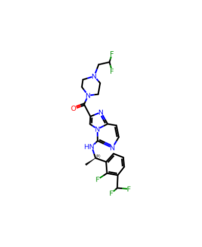 C[C@@H](Nc1nccc2nc(C(=O)N3CCN(CC(F)F)CC3)cn12)c1cccc(C(F)F)c1F